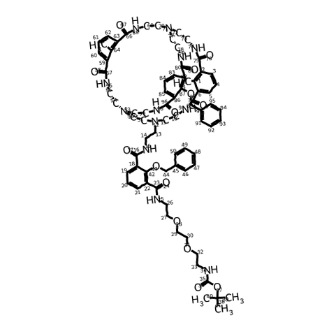 Cc1c2cccc1C(=O)NCCN(CCNC(=O)c1cccc(C(=O)NCCOCCOCCNC(=O)OC(C)(C)C)c1OCc1ccccc1)CCN1CCNC(=O)c3cccc(c3C)C(=O)NCCN(CCNC2=O)CCNC(=O)c2cccc(c2OCc2ccccc2)C(=O)NCC1